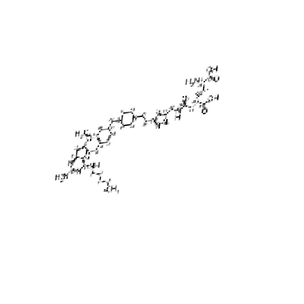 CCCCCNc1nc(N)nc2ccn(Cc3ccc(CN4CCN(CCn5cc(CNC(=O)C[C@H](SC[C@H](N)C(=O)O)C(=O)O)nn5)CC4)cc3OC)c12